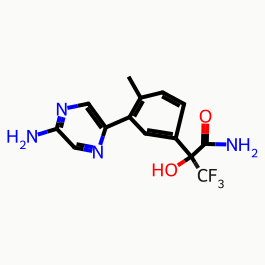 Cc1ccc(C(O)(C(N)=O)C(F)(F)F)cc1-c1cnc(N)cn1